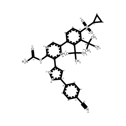 CC(C)(C)c1c(-c2cnc(OC(N)=O)c(-c3cc(-c4ccc(C#N)cc4)no3)n2)ccc(S(=O)(=O)C2CC2)c1C(C)(C)C